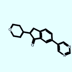 O=C1c2cc(-c3cncnc3)ccc2CC1C1CCOCC1